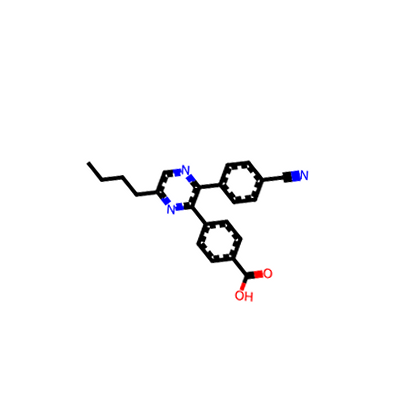 CCCCc1cnc(-c2ccc(C#N)cc2)c(-c2ccc(C(=O)O)cc2)n1